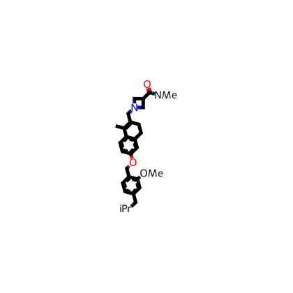 CNC(=O)C1CN(CC2=C(C)c3ccc(OCc4ccc(CC(C)C)cc4OC)cc3CC2)C1